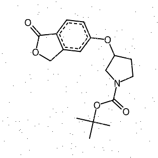 CC(C)(C)OC(=O)N1CCC(Oc2ccc3c(c2)COC3=O)C1